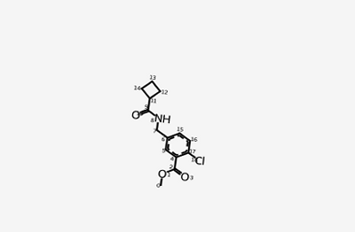 COC(=O)c1cc(CNC(=O)C2CCC2)ccc1Cl